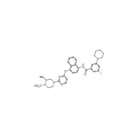 CC(C)(C)C1CN(c2nccc(Oc3ccc(NC(=O)c4cc(F)cc(N5CCCCC5)c4)c4ccccc34)n2)CCN1C(=O)O